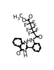 COC(=O)C(F)(F)C(F)(F)C(F)(F)C(=O)Nc1ccccc1-c1nc2ccccc2c(=O)[nH]1